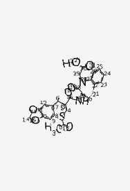 CC(=O)SC[C@@H](Cc1ccc2c(c1)OCO2)C(=O)N[C@H]1CCc2ccccc2N(CC(=O)O)C1=O